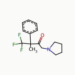 CC(C(=O)CN1CCCC1)(c1ccccc1)C(F)(F)F